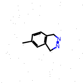 Cc1ccc2c(c1)CN=NC2